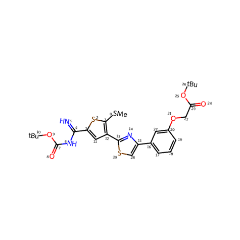 CSc1sc(C(=N)NC(=O)OC(C)(C)C)cc1-c1nc(-c2cccc(OCC(=O)OC(C)(C)C)c2)cs1